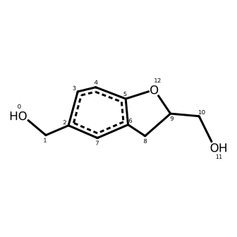 OCc1ccc2c(c1)CC(CO)O2